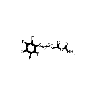 NC(=O)OC(=O)NSSSc1c(F)c(F)c(F)c(F)c1F